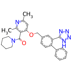 Cc1cc(OCc2ccc(-c3ccccc3)c(-c3nnn[nH]3)c2)c(C(=O)N2CCCCC2)c(C)n1